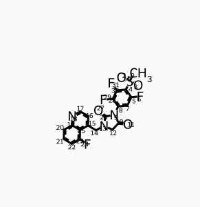 CS(=O)(=O)c1c(F)cc(N2C(=O)CN(Cc3ccnc4cccc(F)c34)C2=O)c(F)c1F